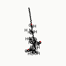 CCCCCCCCCCCCCCCCCCCC(=O)NCCCC[C@H](NC(=O)CCCCCNC(=O)[C@H](CCC(=O)O)NC(=O)[C@H](Cc1c[nH]c2ccccc12)NC(=O)[C@H](Cc1cccc(F)c1)NC(=O)CNC(=O)[C@H](CCC(=O)O)NC(=O)[C@@H](CC(=O)O)NS(=O)(=O)c1ccc(OC)cc1)C(N)=O